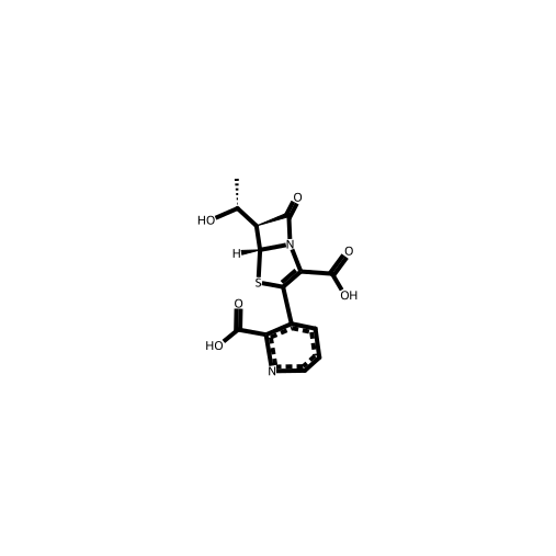 C[C@@H](O)[C@H]1C(=O)N2C(C(=O)O)=C(c3cccnc3C(=O)O)S[C@H]12